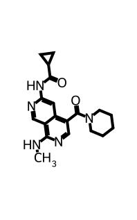 CNc1ncc(C(=O)N2CCCCC2)c2cc(NC(=O)C3CC3)ncc12